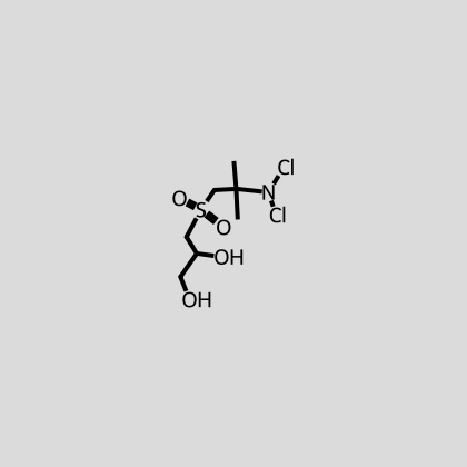 CC(C)(CS(=O)(=O)CC(O)CO)N(Cl)Cl